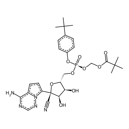 CC(C)(C)C(=O)OCO[P@@](=O)(OC[C@H]1O[C@@](C#N)(c2ccc3c(N)ncnn23)[C@H](O)[C@@H]1O)Oc1ccc(C(C)(C)C)cc1